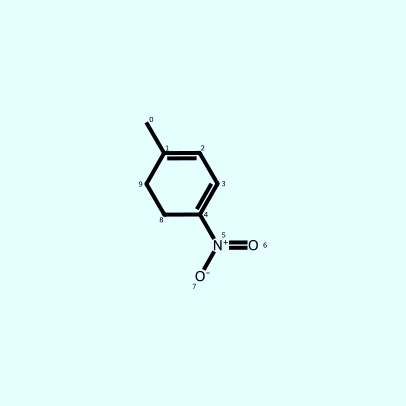 CC1=CC=C([N+](=O)[O-])CC1